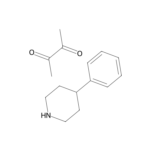 CC(=O)C(C)=O.c1ccc(C2CCNCC2)cc1